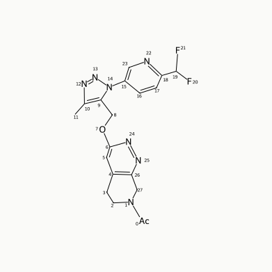 CC(=O)N1CCc2cc(OCc3c(C)nnn3-c3ccc(C(F)F)nc3)nnc2C1